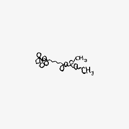 CCCOCC(COC(=O)CCCCCC(=O)ON1C(=O)CCC1=O)OCCC